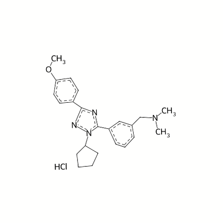 COc1ccc(-c2nc(-c3cccc(CN(C)C)c3)n(C3CCCC3)n2)cc1.Cl